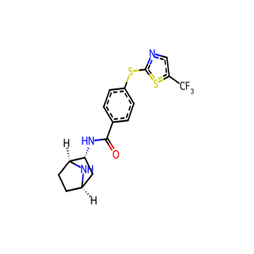 O=C(N[C@@H]1C[C@H]2CC[C@@H]1N2)c1ccc(Sc2ncc(C(F)(F)F)s2)cc1